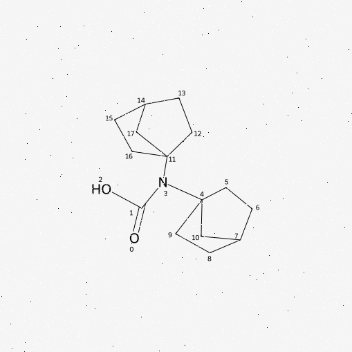 O=C(O)N(C12CCC(CC1)C2)C12CCC(CC1)C2